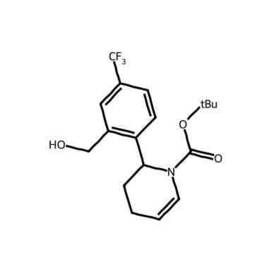 CC(C)(C)OC(=O)N1C=CCCC1c1ccc(C(F)(F)F)cc1CO